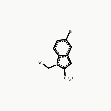 N#CCn1c(C(=O)O)cc2cc(Br)ccc21